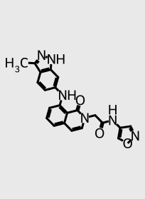 Cc1n[nH]c2cc(Nc3cccc4ccn(CC(=O)Nc5cnoc5)c(=O)c34)ccc12